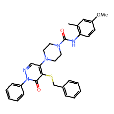 COc1ccc(NC(=O)N2CCN(c3cnn(-c4ccccc4)c(=O)c3SCc3ccccc3)CC2)c(C)c1